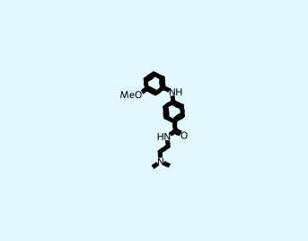 COc1cccc(Nc2ccc(C(=O)NCCN(C)C)cc2)c1